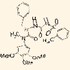 COc1cc(N(C)C(=O)[C@H](Cc2ccccc2)NC(=O)NS(=O)(=O)c2ccccc2C)cc(OC)c1OC